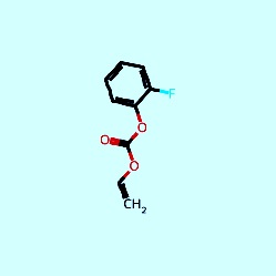 C=COC(=O)Oc1ccccc1F